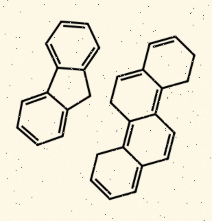 C1=CCc2c3c(ccc2=C1)=C1CCC=CC1=CC3.c1ccc2c(c1)Cc1ccccc1-2